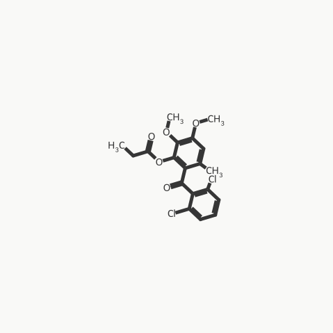 CCC(=O)Oc1c(OC)c(OC)cc(C)c1C(=O)c1c(Cl)cccc1Cl